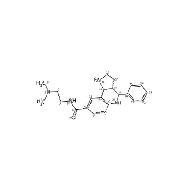 CN(C)CCNC(=O)c1ccc2c(c1)C1NCCC1C(c1ccccc1)N2